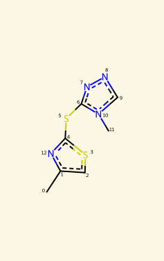 Cc1csc(Sc2nncn2C)n1